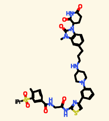 Cc1ccc(C(=O)NCC(=O)Nc2nc(-c3cccc(N4CCC(NCCCc5ccc6c(c5)n(C)c(=O)n6C5CCC(=O)NC5=O)CC4)c3)cs2)cc1S(=O)(=O)C(C)C